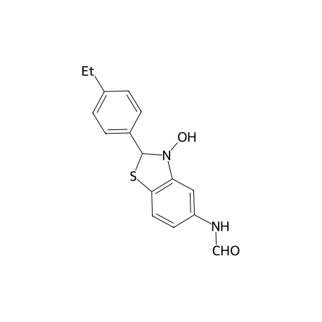 CCc1ccc(C2Sc3ccc(NC=O)cc3N2O)cc1